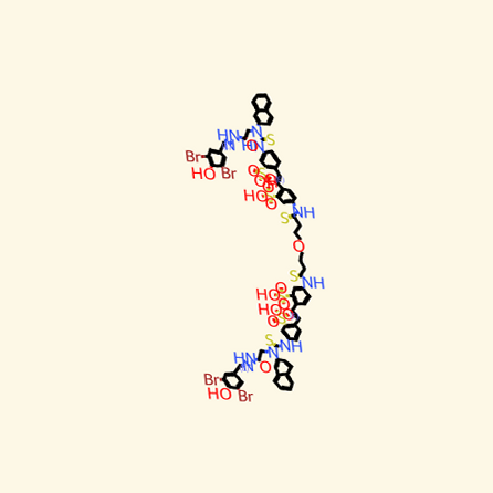 O=C(CN(C(=S)Nc1ccc(/C=C/c2ccc(NC(=S)CCCOCCCC(=S)Nc3ccc(/C=C/c4ccc(NC(=S)N(CC(=O)N/N=C/c5cc(Br)c(O)c(Br)c5)c5ccc6ccccc6c5)cc4S(=O)(=O)O)c(S(=O)(=O)O)c3)cc2S(=O)(=O)O)c(S(=O)(=O)O)c1)c1ccc2ccccc2c1)N/N=C/c1cc(Br)c(O)c(Br)c1